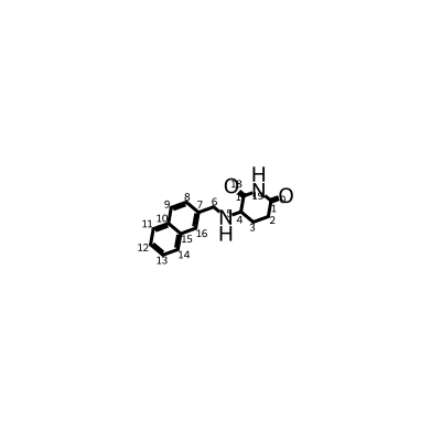 O=C1CCC(NCc2ccc3ccccc3c2)C(=O)N1